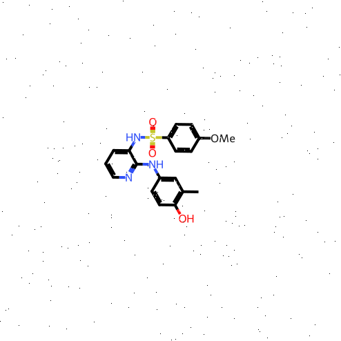 COc1ccc(S(=O)(=O)Nc2cccnc2Nc2ccc(O)c(C)c2)cc1